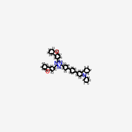 c1ccc(-n2c3ccccc3c3cc(-c4ccc(-c5ccc(-c6nc(-c7ccc8oc9ccccc9c8c7)nc(-c7ccc8oc9ccccc9c8c7)n6)cc5)cc4)ccc32)cc1